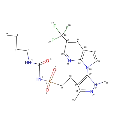 CCCCNC(=O)NS(=O)(=O)CCc1c(C)nn(C)c1-n1ccc2cc(C(F)(F)F)cnc21